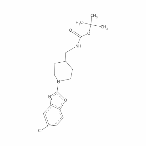 CC(C)(C)OC(=O)NCC1CCN(c2nc3cc(Cl)ccc3o2)CC1